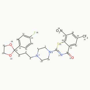 O=c1nc(N2CCN(CCCC3(c4ccc(F)cc4)OCCO3)CC2)sc2c([N+](=O)[O-])cc(C(F)(F)F)cc12